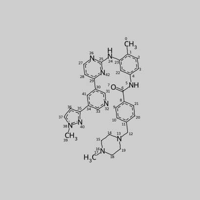 Cc1ccc(NC(=O)c2ccc(CN3CCN(C)CC3)cc2)cc1Nc1nccc(-c2cncc(-c3ccn(C)n3)c2)n1